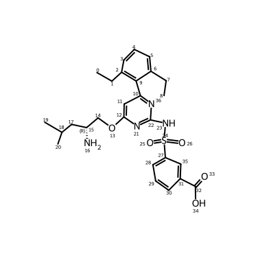 CCc1cccc(CC)c1-c1cc(OC[C@H](N)CC(C)C)nc(NS(=O)(=O)c2cccc(C(=O)O)c2)n1